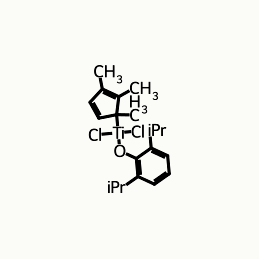 CC1=C(C)[C](C)([Ti]([Cl])([Cl])[O]c2c(C(C)C)cccc2C(C)C)C=C1